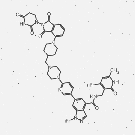 CCCc1cc(C)[nH]c(=O)c1CNC(=O)c1cc(-c2ccc(N3CCN(CC4CCN(c5cccc6c5C(=O)N(N5CCC(=O)NC5=O)C6=O)CC4)CC3)nc2)cc2c1cnn2C(C)C